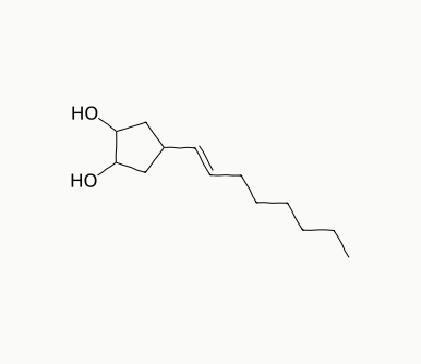 CCCCCCC=CC1CC(O)C(O)C1